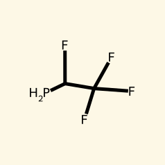 FC(P)C(F)(F)F